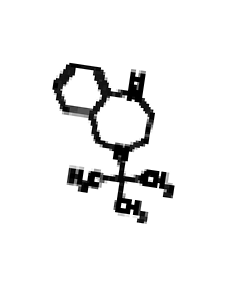 CC(C)(C)N1CCNc2ccccc2C1